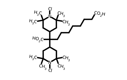 CC1(C)CC(C(CCCCCCCC(=O)O)(C(=O)O)C2CC(C)(C)N(Cl)C(C)(C)C2)CC(C)(C)N1Cl